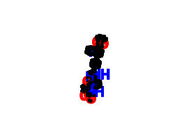 COC(=O)N[C@H](C(=O)N1CCC[C@H]1c1ncc(-c2ccc(-c3ccc(B4OC(C)(C)C(C)(C)O4)c4c3C3C=CC4N3C)cc2)[nH]1)C(C)C